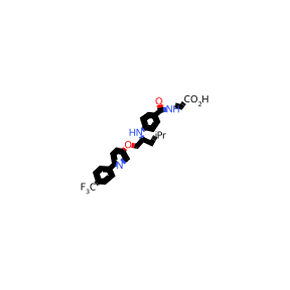 CC(C)CC(COc1ccc(-c2ccc(C(F)(F)F)cc2)nc1)Nc1ccc(C(=O)NCCC(=O)O)cc1